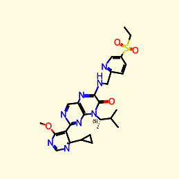 CCS(=O)(=O)c1ccc(CNc2nc3cnc(-c4c(OC)ncnc4C4CC4)nc3n([C@@H](C)C(C)C)c2=O)nc1